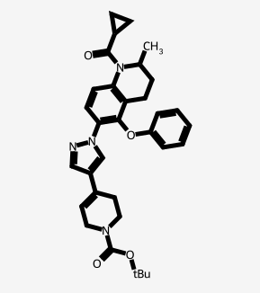 CC1CCc2c(ccc(-n3cc(C4=CCN(C(=O)OC(C)(C)C)CC4)cn3)c2Oc2ccccc2)N1C(=O)C1CC1